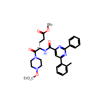 CCOC(=O)ON1CCN(C(=O)[C@H](CCC(=O)OC(C)(C)C)NC(=O)c2cc(-c3ccccc3C)nc(-c3ccccc3)n2)CC1